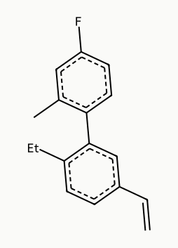 C=Cc1ccc(CC)c(-c2ccc(F)cc2C)c1